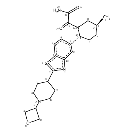 C[C@H]1CC[C@H](c2ccc3sc(C4CCN(C5COC5)CC4)nc3c2)N(C(=O)C(N)=O)C1